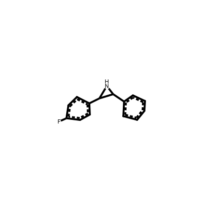 Fc1ccc(C2NC2c2ccccc2)cc1